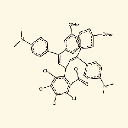 COc1cccc(C(=CC2(C=C(c3ccc(N(C)C)cc3)c3cccc(OC)c3)OC(=O)c3c(Cl)c(Cl)c(Cl)c(Cl)c32)c2ccc(N(C)C)cc2)c1